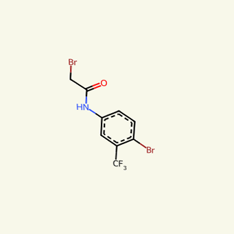 O=C(CBr)Nc1ccc(Br)c(C(F)(F)F)c1